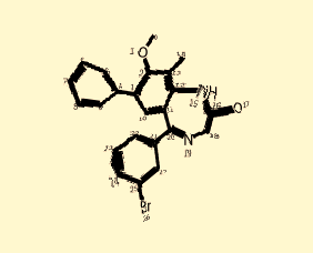 COc1c(-c2ccccc2)cc2c(c1C)NC(=O)CN=C2c1cccc(Br)c1